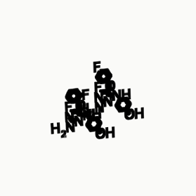 Nc1ncc(Oc2c(F)cccc2F)c(NC2CCC(O)CC2)n1.Nc1ncc(Oc2ccc(F)cc2F)c(NC2CCC(O)CC2)n1